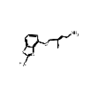 Cc1nc2c(SC/C(F)=C/CN)cccc2s1